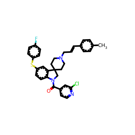 Cc1ccc(/C=C/CN2CCC3(CC2)CN(C(=O)c2ccnc(Cl)c2)c2ccc(Sc4ccc(F)cc4)cc23)cc1